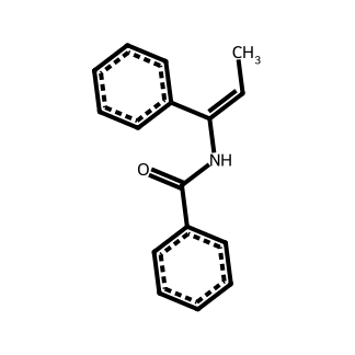 CC=C(NC(=O)c1ccccc1)c1ccccc1